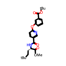 COC(=O)[C@H](CCC(C)(C)C)NC(=O)c1ccc(Oc2cccc(C(=O)OC(C)(C)C)c2)nc1